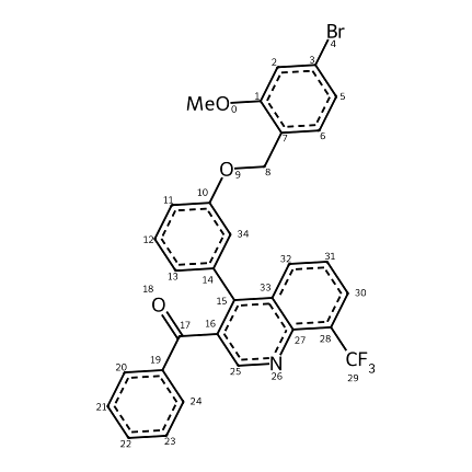 COc1cc(Br)ccc1COc1cccc(-c2c(C(=O)c3ccccc3)cnc3c(C(F)(F)F)cccc23)c1